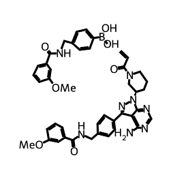 C=CC(=O)N1CCC[C@@H](n2nc(-c3ccc(CNC(=O)c4cccc(OC)c4)cc3)c3c(N)ncnc32)C1.COc1cccc(C(=O)NCc2ccc(B(O)O)cc2)c1